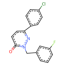 O=c1ccc(-c2ccc(Cl)cc2)nn1Cc1cccc(F)c1